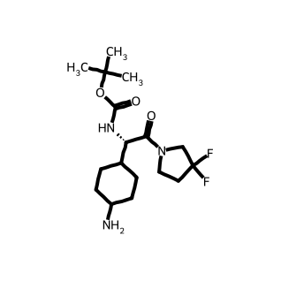 CC(C)(C)OC(=O)N[C@H](C(=O)N1CCC(F)(F)C1)C1CCC(N)CC1